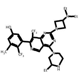 CCC1CN(c2nc(N3CC(N(CC)CC)C3)nc3c(C(F)(F)F)c(-c4cc(O)cc(C)c4C(F)(F)F)ncc23)CCN1